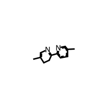 CC1=CN=C(c2ccc(C)cn2)CC1